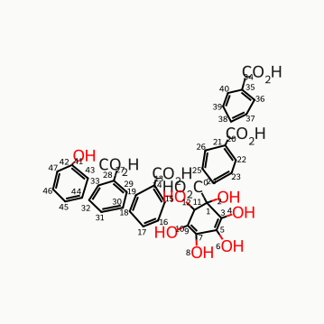 O=C(O)C1(O)C(O)=C(O)C(O)=C(O)C1O.O=C(O)c1ccccc1.O=C(O)c1ccccc1.O=C(O)c1ccccc1.O=C(O)c1ccccc1.Oc1ccccc1